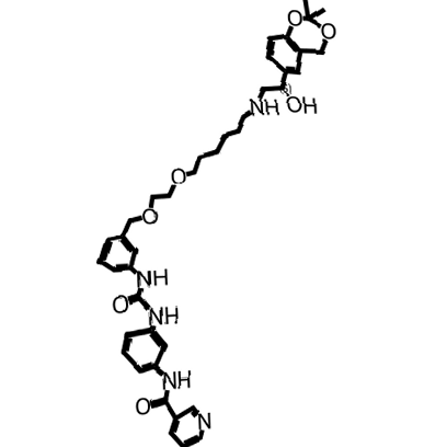 CC1(C)OCc2cc([C@H](O)CNCCCCCCOCCOCc3cccc(NC(=O)Nc4cccc(NC(=O)c5cccnc5)c4)c3)ccc2O1